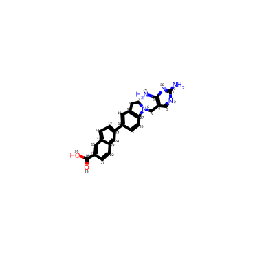 Nc1ncc(CN2CCc3cc(-c4ccc5cc(C(=O)O)ccc5c4)ccc32)c(N)n1